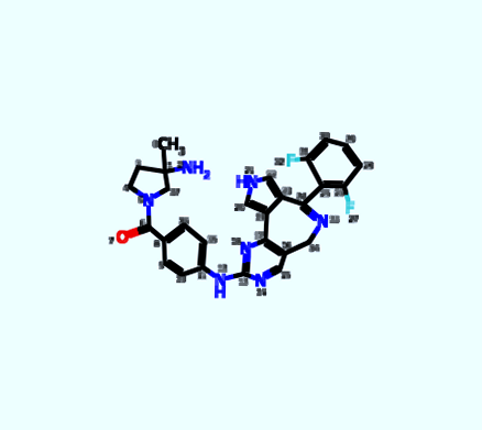 CC1(N)CCN(C(=O)c2ccc(Nc3ncc4c(n3)-c3c[nH]cc3C(c3c(F)cccc3F)=NC4)cc2)C1